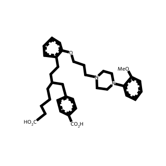 COc1ccccc1N1CCN(CCCOc2ccccc2CCC(CCCCC(=O)O)Cc2ccc(C(=O)O)cc2)CC1